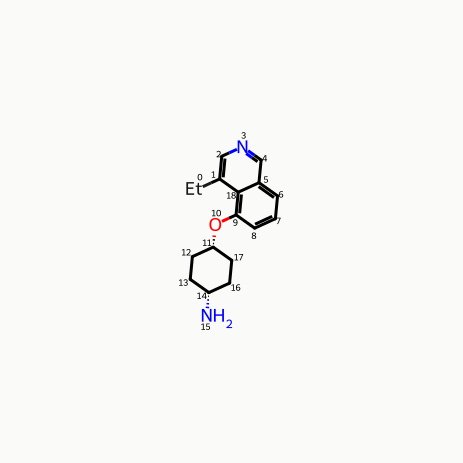 CCc1cncc2cccc(O[C@H]3CC[C@@H](N)CC3)c12